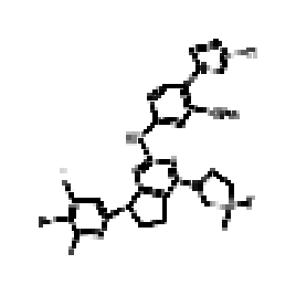 COc1cc(Nc2nc3c(c(N4CCC(F)(F)C4)n2)CC[C@H]3c2cc(F)c(F)c(F)c2)ccc1-n1cnc(Cl)c1